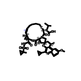 COc1ccc2nc(C3CC3)c3c(c2c1)[C@H](F)C[C@]1(C[C@H]2C(=O)N[C@]4(C(=O)NS(=O)(=O)C5(C)CC5)C[C@H]4/C=C\CCCCC[C@H](N(C(=O)O)C(C)C)C(=O)N2C1)O3